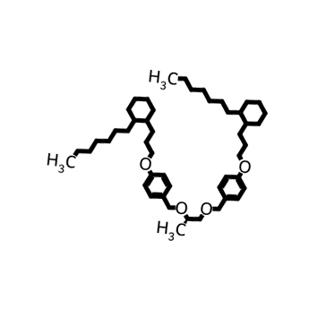 CCCCCCCC1CCCCC1CCCOc1ccc(COC[C@@H](C)OCc2ccc(OCCCC3CCCCC3CCCCCCC)cc2)cc1